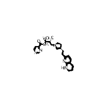 O=C(NC(CCN1CC[C@@H](CCc2ccc3c(n2)NCCC3)C1)C(=O)O)c1ccncn1